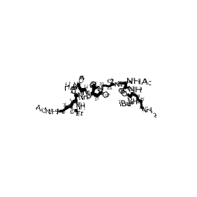 CCC(=O)NC(CCCCNC(C)=O)C(=O)NC(CSC1CC(=O)N(CCC(=O)NCC(NC(C)=O)C(=O)NC(CCCCN)C(=O)NC(C)CC)C1=O)C(N)=O